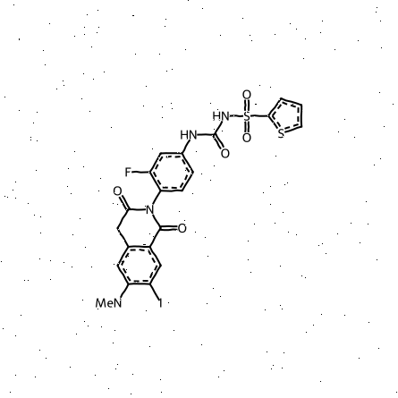 CNc1cc2c(cc1I)C(=O)N(c1ccc(NC(=O)NS(=O)(=O)c3cccs3)cc1F)C(=O)C2